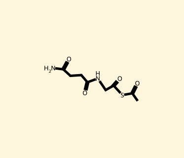 CC(=O)SC(=O)CNC(=O)CCC(N)=O